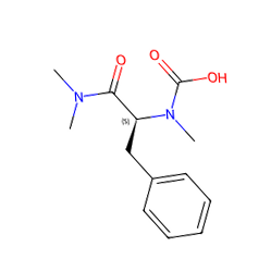 CN(C)C(=O)[C@H](Cc1ccccc1)N(C)C(=O)O